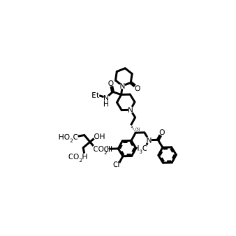 CCNC(=O)C1(N2CCCCC2=O)CCN(CC[C@H](CN(C)C(=O)c2ccccc2)c2ccc(Cl)c(Cl)c2)CC1.O=C(O)CC(O)(CC(=O)O)C(=O)O